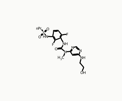 CCCS(=O)(=O)Nc1ccc(F)c(NC(=O)N(C)c2cc(NCCO)ncn2)c1F